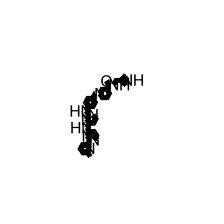 Cc1cccc(-c2nccc(Nc3ccnc(Nc4ccc(CN5CCCC(C(=O)NCC6CNC6)C5)cc4)n3)n2)n1